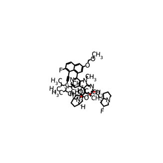 COCOc1cc(-c2nccc3c4c(N5C[C@H]6CC[C@@H](C5)N6C(=O)OC(C)(C)C)nc(OC[C@@]56CCCN5C[C@H](F)C6)nc4n(C)c23)c2c(C#C[Si](C(C)C)(C(C)C)C(C)C)c(F)ccc2c1